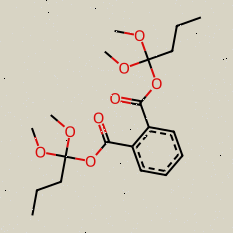 CCCC(OC)(OC)OC(=O)c1ccccc1C(=O)OC(CCC)(OC)OC